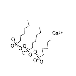 CCCCCCS(=O)(=O)[O-].CCCCCCS(=O)(=O)[O-].CCCCCCS(=O)(=O)[O-].[Ga+3]